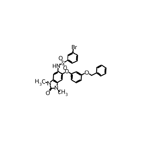 Cn1c(=O)n(C)c2cc(Oc3cccc(OCc4ccccc4)c3)c(NS(=O)(=O)c3cccc(Br)c3)cc21